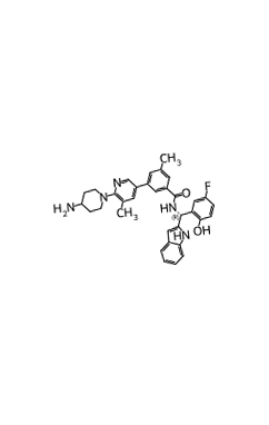 Cc1cc(C(=O)N[C@@H](c2cc3ccccc3[nH]2)c2cc(F)ccc2O)cc(-c2cnc(N3CCC(N)CC3)c(C)c2)c1